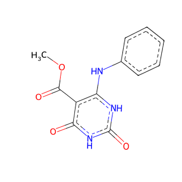 COC(=O)c1c(Nc2ccccc2)[nH]c(=O)[nH]c1=O